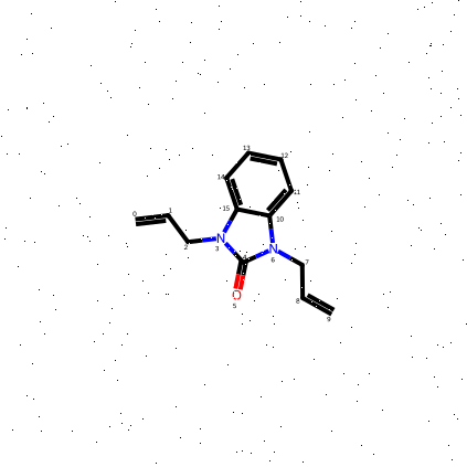 C=CCn1c(=O)n(CC=C)c2ccccc21